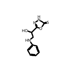 OC(CNc1ccccc1)c1n[nH]c(=S)o1